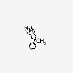 [CH2]C(CCCC)(CCCC)c1ccccc1